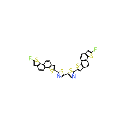 Fc1cc2ccc3c(ccc4cc(-c5ncc(-c6cnc(-c7cc8ccc9c(ccc%10cc(F)sc%109)c8s7)s6)s5)sc43)c2s1